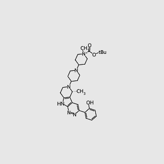 C[C@@H]1c2c([nH]c3nnc(-c4ccccc4O)cc23)CCN1C1CCN(C2CC[N+](C)(C(=O)OC(C)(C)C)CC2)CC1